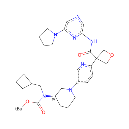 CC(C)(C)OC(=O)N(CC1CCC1)[C@@H]1CCCN(c2ccc(C3(C(=O)Nc4cncc(N5CCCC5)n4)COC3)nc2)C1